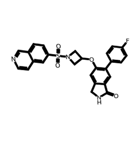 O=C1NCc2cc(OC3CN(S(=O)(=O)c4ccc5cnccc5c4)C3)c(-c3ccc(F)cc3)cc21